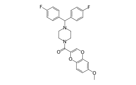 COc1ccc2c(c1)OC=C(C(=O)N1CCN(C(c3ccc(F)cc3)c3ccc(F)cc3)CC1)O2